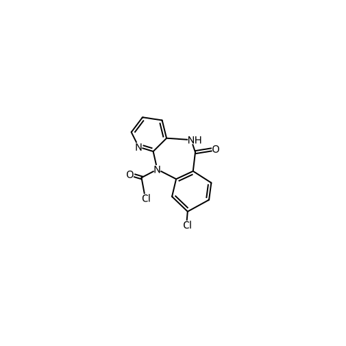 O=C1Nc2cccnc2N(C(=O)Cl)c2cc(Cl)ccc21